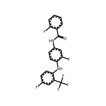 O=C(Nc1ccc(Nc2ccc(F)cc2C(F)(F)F)c(F)c1)c1ccccc1F